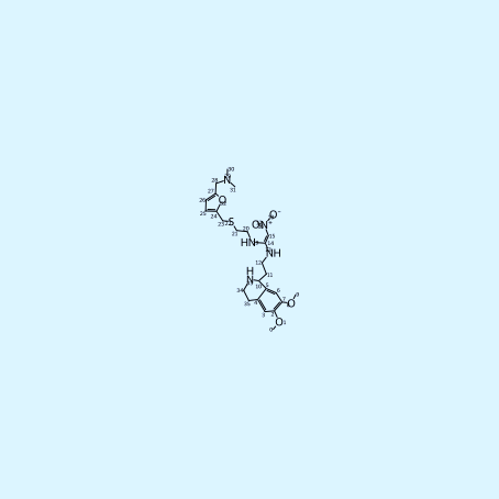 COc1cc2c(cc1OC)C(CCNC(=C[N+](=O)[O-])NCCSCc1ccc(CN(C)C)o1)NCC2